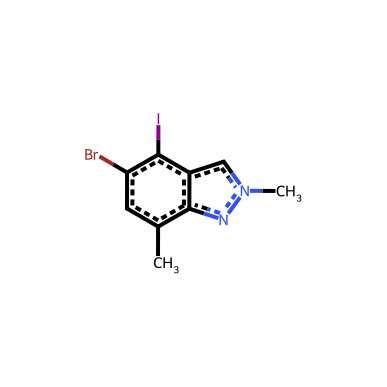 Cc1cc(Br)c(I)c2cn(C)nc12